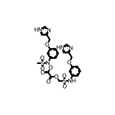 CS(=O)(=O)N(OC(=O)C(=O)OCS(=O)(=O)Nc1cccc(OCc2c[nH]cn2)c1)c1cccc(OCc2c[nH]cn2)c1